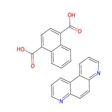 O=C(O)c1ccc(C(=O)O)c2ccccc12.c1cnc2ccc3ncccc3c2c1